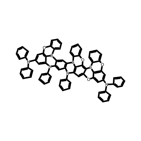 c1ccc(N(c2ccccc2)c2cc3c4c(c2)Oc2cc5c6c(c2B4c2ccccc2O3)Oc2ccccc2B6c2cc3c(cc2N5c2ccccc2)N(c2ccccc2)c2cc(N(c4ccccc4)c4ccccc4)cc4c2B3c2ccccc2O4)cc1